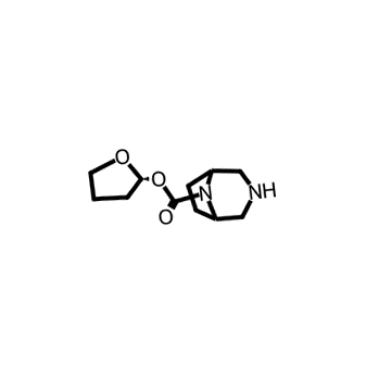 O=C(O[C@@H]1CCCO1)N1C2CCC1CNC2